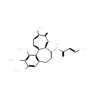 C/C=C/C(=O)N[C@H]1CCc2cc(OC)c(OC)c(OC)c2-c2ccc(SC)c(=O)cc21